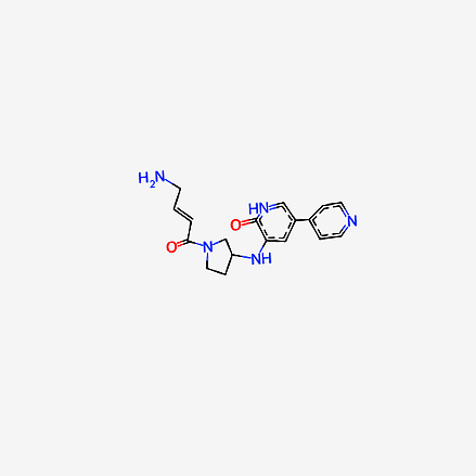 NC/C=C/C(=O)N1CCC(Nc2cc(-c3ccncc3)c[nH]c2=O)C1